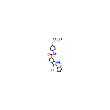 CCOC(=O)CCc1ccc(NC(=O)c2ccc3nc(-c4c(Cl)cccc4Cl)[nH]c3c2)cc1